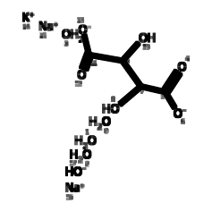 O.O.O.O.O=C([O-])C(O)C(O)C(=O)[O-].[K+].[Na+].[Na+].[OH-]